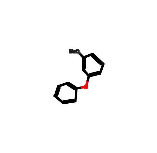 COc1cccc(Oc2cc[c]cc2)c1